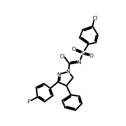 O=S(=O)(N=C(Cl)N1CC(c2ccccc2)C(c2ccc(F)cc2)=N1)c1ccc(Cl)cc1